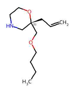 C=CC[C@@]1(COCCCC)CNCCO1